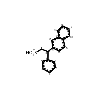 O=S(=O)(O)C[C](c1ccccc1)c1ccc2ccccc2c1